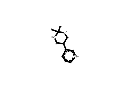 CC1(C)OCC(c2cccnc2)CO1